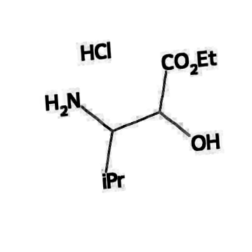 CCOC(=O)C(O)C(N)C(C)C.Cl